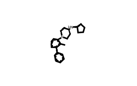 Cc1c(-c2ccccc2)cccc1N1CCC(NC2CCCC2)CC1